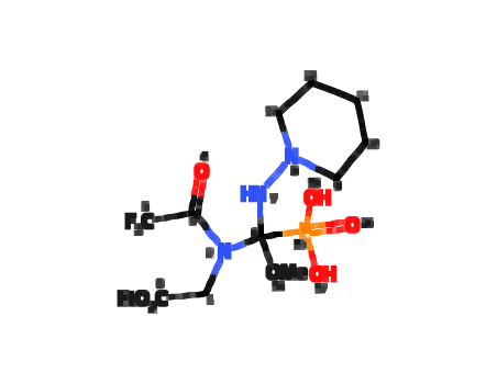 CCOC(=O)CN(C(=O)C(F)(F)F)C(NN1CCCCC1)(OC)P(=O)(O)O